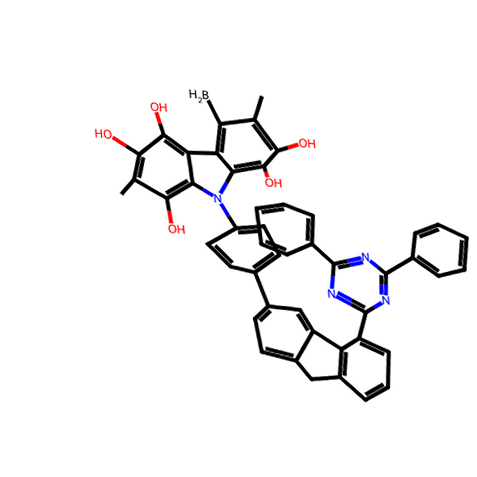 Bc1c(C)c(O)c(O)c2c1c1c(O)c(O)c(C)c(O)c1n2-c1ccc(-c2ccc3c(c2)-c2c(cccc2-c2nc(-c4ccccc4)nc(-c4ccccc4)n2)C3)cc1